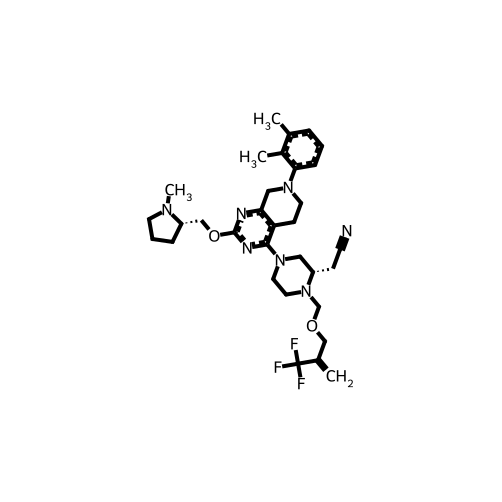 C=C(COCN1CCN(c2nc(OC[C@@H]3CCCN3C)nc3c2CCN(c2cccc(C)c2C)C3)C[C@@H]1CC#N)C(F)(F)F